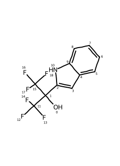 OC(c1cc2ccccc2[nH]1)(C(F)(F)F)C(F)(F)F